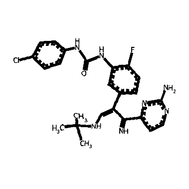 CC(C)(C)N/C=C(\C(=N)c1ccnc(N)n1)c1ccc(F)c(NC(=O)Nc2ccc(Cl)cc2)c1